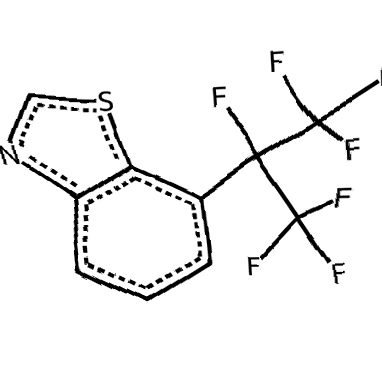 FC(F)(F)C(F)(c1cccc2ncsc12)C(F)(F)F